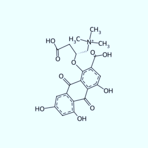 C[N+](C)(C)C[C@@H](CC(=O)O)Oc1c(C(=O)O)cc(O)c2c1C(=O)c1cc(O)cc(O)c1C2=O